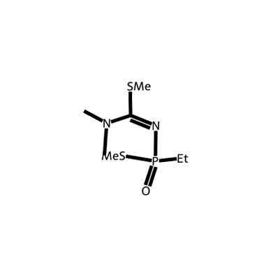 CCP(=O)(N=C(SC)N(C)C)SC